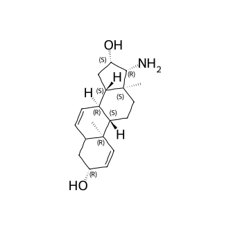 C[C@]12CC[C@H]3[C@@H](C=CC4C[C@@H](O)C=C[C@@]43C)[C@@H]1C[C@H](O)[C@@H]2N